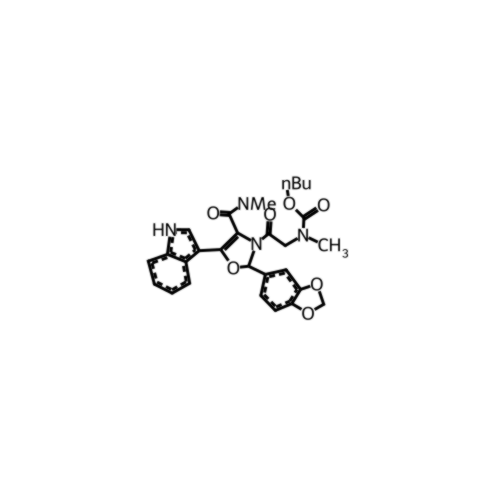 CCCCOC(=O)N(C)CC(=O)N1C(C(=O)NC)=C(c2c[nH]c3ccccc23)OC1c1ccc2c(c1)OCO2